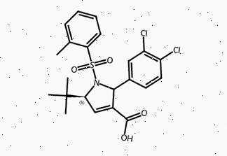 Cc1ccccc1S(=O)(=O)N1C(c2ccc(Cl)c(Cl)c2)C(C(=O)O)=C[C@H]1C(C)(C)C